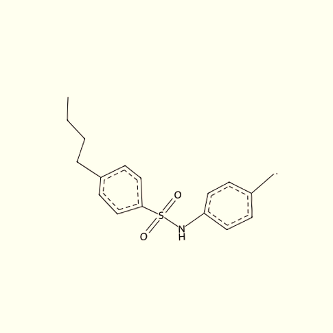 [CH2]c1ccc(NS(=O)(=O)c2ccc(CCCC)cc2)cc1